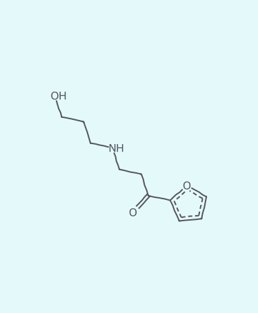 O=C(CCNCCCO)c1ccco1